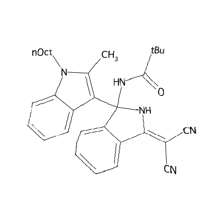 CCCCCCCCn1c(C)c(C2(NC(=O)C(C)(C)C)NC(=C(C#N)C#N)c3ccccc32)c2ccccc21